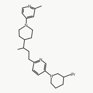 Cc1cc(N2CCC(C(C)CCc3ccc(N4CCCC(C(C)C)C4)cn3)CC2)ccn1